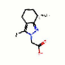 Cc1c2c(nn1CC(=O)O)[C@@H](C)CCC2